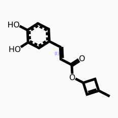 CC1=CC(OC(=O)/C=C/c2ccc(O)c(O)c2)C1